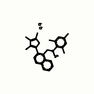 CC1=C(C)C(C)=C(c2ccc3ccccc3c2C[N]([Ti+2])c2c(C)cc(C)cc2C)C1.[Cl-].[Cl-]